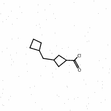 O=C(Cl)C1CC(CC2CCC2)C1